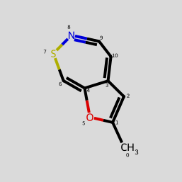 Cc1cc2c(o1)=CSN=CC=2